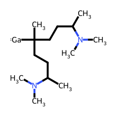 CC(CC[C](C)([Ga])CCC(C)N(C)C)N(C)C